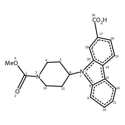 COC(=O)N1CCC(n2c3ccccc3c3ccc(C(=O)O)cc32)CC1